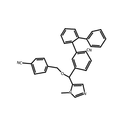 Cn1cncc1C(OCc1ccc(C#N)cc1)c1ccc(C#N)c(-c2ccccc2-c2ccccc2)c1